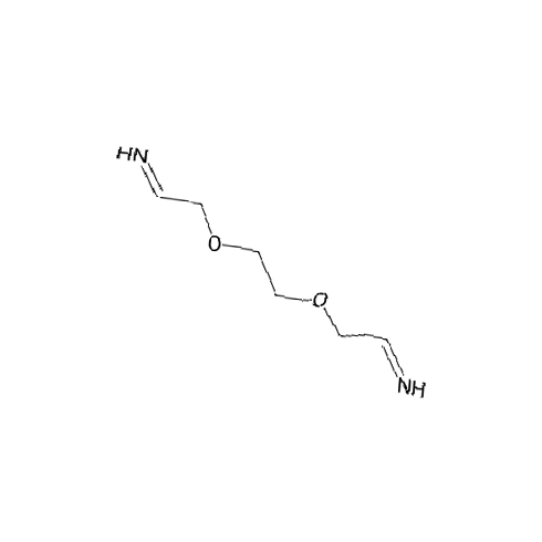 N=CCOCCOCC=N